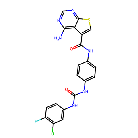 Nc1ncnc2scc(C(=O)Nc3ccc(NC(=O)Nc4ccc(F)c(Cl)c4)cc3)c12